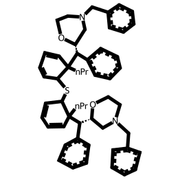 CCCC1(C(c2ccccc2)[C@H]2CN(Cc3ccccc3)CCO2)C=CC=CC1SC1C=CC=CC1(CCC)C(c1ccccc1)[C@H]1CN(Cc2ccccc2)CCO1